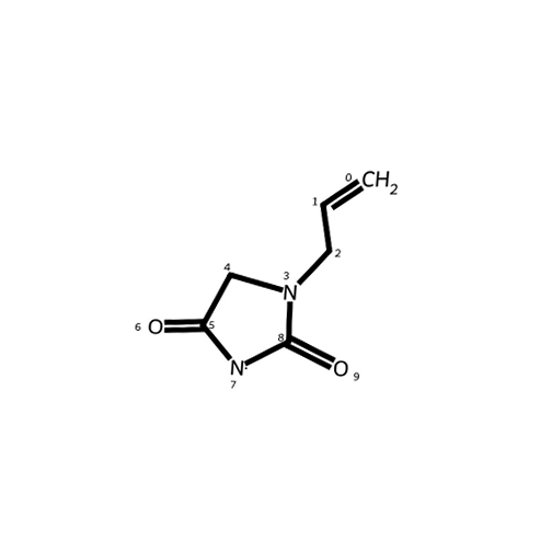 C=CCN1CC(=O)[N]C1=O